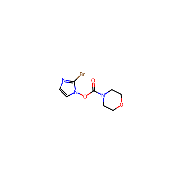 O=C(On1ccnc1Br)N1CCOCC1